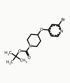 CC(C)(C)OC(=O)N1CCC(Oc2ccnc(Br)c2)CC1